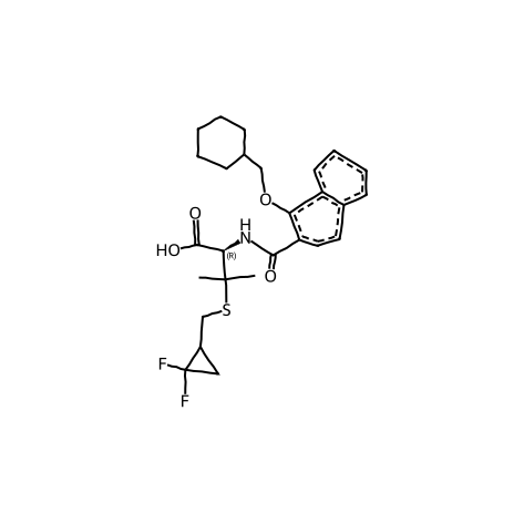 CC(C)(SCC1CC1(F)F)[C@H](NC(=O)c1ccc2ccccc2c1OCC1CCCCC1)C(=O)O